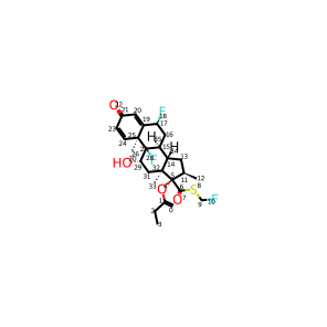 C=C(CC)O[C@]1(C(=O)SCF)[C@H](C)C[C@H]2[C@@H]3C[C@H](F)C4=CC(=O)C=C[C@]4(C)[C@@]3(F)[C@@H](O)C[C@@]21C